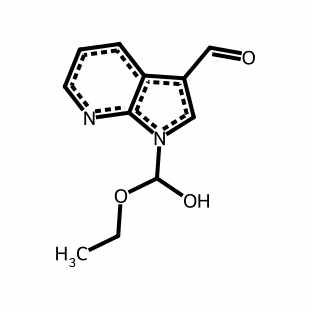 CCOC(O)n1cc(C=O)c2cccnc21